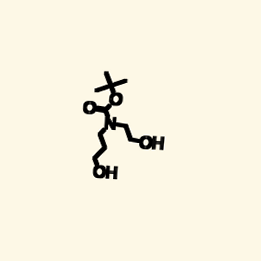 CC(C)(C)OC(=O)N(CCO)CCCO